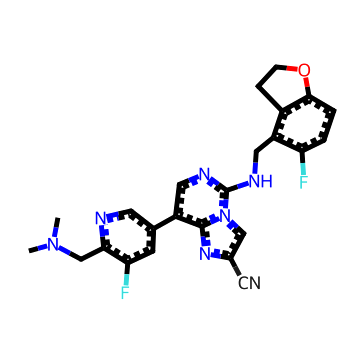 CN(C)Cc1ncc(-c2cnc(NCc3c(F)ccc4c3CCO4)n3cc(C#N)nc23)cc1F